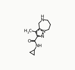 Cc1c(C(=O)NC2CC2)nn2c1CNCCC2